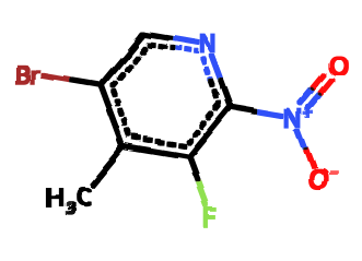 Cc1c(Br)cnc([N+](=O)[O-])c1F